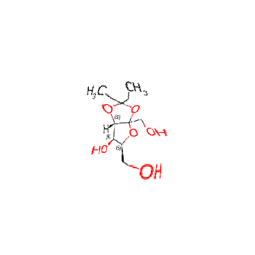 CC1(C)O[C@H]2[C@H](O)[C@H](CO)OC2(CO)O1